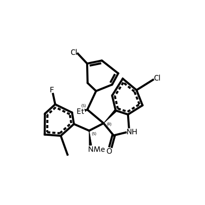 CC[C@@H](C1C=CC=C(Cl)C1)[C@@]1([C@@H](NC)c2cc(F)ccc2C)C(=O)Nc2cc(Cl)ccc21